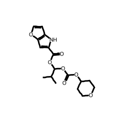 CC(C)C(OC(=O)OC1CCOCC1)OC(=O)c1cc2occc2[nH]1